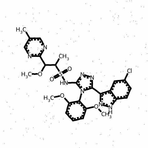 COc1cccc(OC)c1-n1c(NS(=O)(=O)C(C)C(OC)c2ncc(C)cn2)nnc1-c1n[nH]c2ccc(Cl)cc12